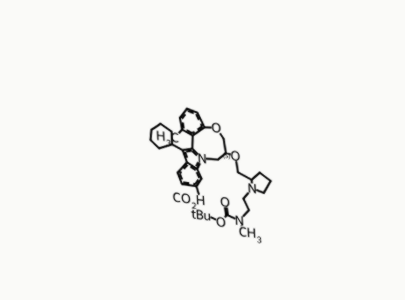 Cc1cccc2c1-c1c(C3CCCCC3)c3ccc(C(=O)O)cc3n1C[C@H](OCC1CCCN1CCN(C)C(=O)OC(C)(C)C)CO2